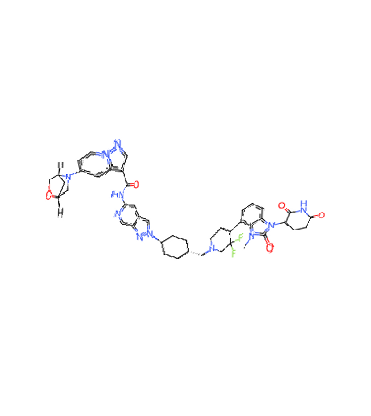 Cn1c(=O)n(C2CCC(=O)NC2=O)c2cccc(C3CCN(C[C@H]4CC[C@H](n5cc6cc(NC(=O)c7cnn8ccc(N9C[C@H]%10C[C@@H]9CO%10)cc78)ncc6n5)CC4)CC3(F)F)c21